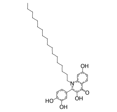 CCCCCCCCCCCCCCCCCCn1c(-c2ccc(O)c(O)c2)c(O)c(=O)c2ccc(O)cc21